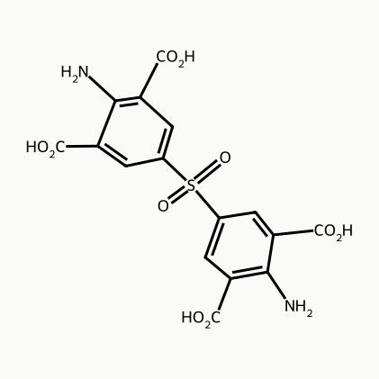 Nc1c(C(=O)O)cc(S(=O)(=O)c2cc(C(=O)O)c(N)c(C(=O)O)c2)cc1C(=O)O